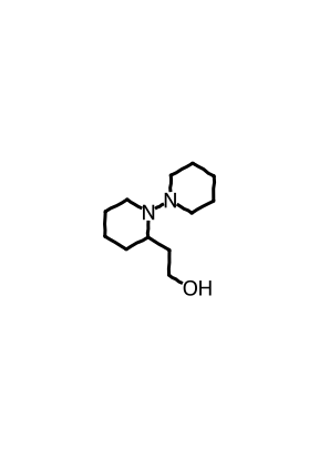 OCCC1CCCCN1N1CCCCC1